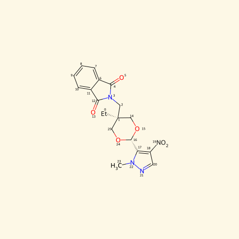 CC[C@]1(CN2C(=O)c3ccccc3C2=O)CO[C@H](c2c([N+](=O)[O-])cnn2C)OC1